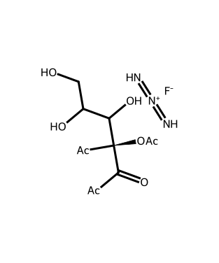 CC(=O)O[C@](C(C)=O)(C(=O)C(C)=O)C(O)C(O)CO.N=[N+]=N.[F-]